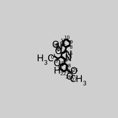 CCC(O)c1cc(-c2ccccc2[N+](=O)[O-])nnc1-c1cccc(C(=O)OC)c1